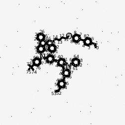 C=Cc1ccc(-c2ccc(OCCCCCCC3(c4ccccc4)c4ccccc4-c4ccc(N(c5ccc(-c6ccc7c(c6)c6cc(-c8ccc(C=C)cc8)ccc6n7-c6ccccc6)cc5)c5ccc(C(C)(C)C)cc5)cc43)cc2)cc1